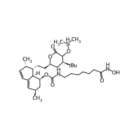 C[C@H]1C=C2C=C[C@H](C)[C@H](CC[C@@H]3C[C@H](C(C)(C)C)C(O[SiH](C)C)C(=O)O3)[C@H]2[C@@H](OC(=O)NCCCCCCC(=O)NO)C1